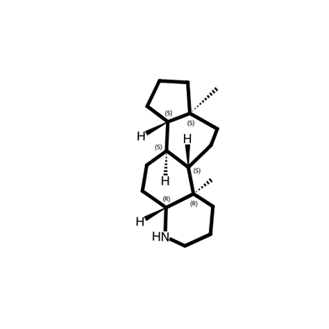 C[C@@]12CCC[C@H]1[C@@H]1CC[C@H]3NCCC[C@]3(C)[C@H]1CC2